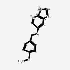 COc1ccc(CSc2cnc3[nH]nnc3c2)cc1